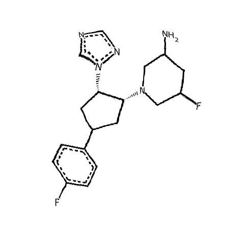 NC1CC(F)CN([C@@H]2CC(c3ccc(F)cc3)C[C@@H]2n2cncn2)C1